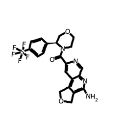 Nc1nc2cnc(C(=O)N3CCOC[C@@H]3c3ccc(S(F)(F)(F)(F)F)cc3)cc2c2c1COC2